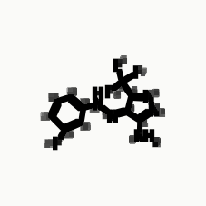 NC1=NN=C(C(F)(F)F)C1=NNc1cccc(F)c1